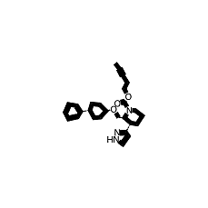 CC#CCCOC(=O)N1CCC[C@H](c2cc[nH]n2)[C@@H]1CO[C@H]1CC[C@@H](c2ccccc2)CC1